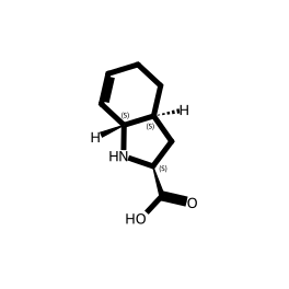 O=C(O)[C@@H]1C[C@@H]2CCC=C[C@H]2N1